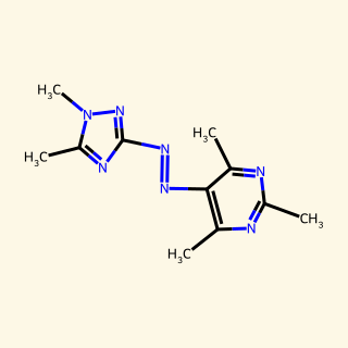 Cc1nc(C)c(N=Nc2nc(C)n(C)n2)c(C)n1